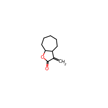 C=C1C(=O)OC2CCCCCC12